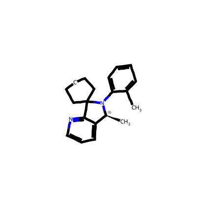 Cc1ccccc1N1[C@@H](C)c2cccnc2C12CCCCC2